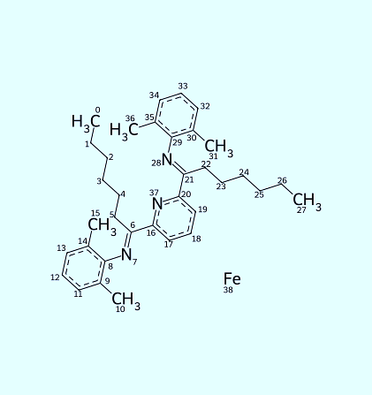 CCCCCCC(=Nc1c(C)cccc1C)c1cccc(C(CCCCCC)=Nc2c(C)cccc2C)n1.[Fe]